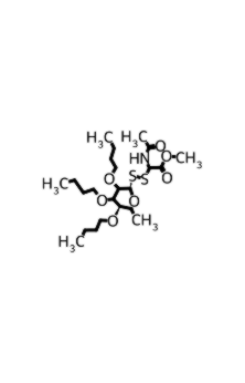 CCCCOC1C(OCCCC)[C@H](SSC(NC(C)=O)C(=O)OC)OC(C)[C@H]1OCCCC